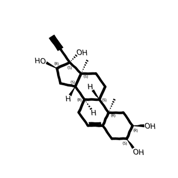 C#C[C@]1(O)[C@H](O)C[C@H]2[C@@H]3CC=C4C[C@H](O)[C@H](O)C[C@]4(C)[C@H]3CC[C@@]21C